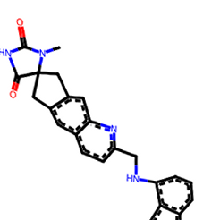 CN1C(=O)NC(=O)C12Cc1cc3ccc(CNc4cccc5[nH]ncc45)nc3cc1C2